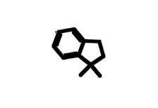 CC1(C)CCc2c[c]ccc21